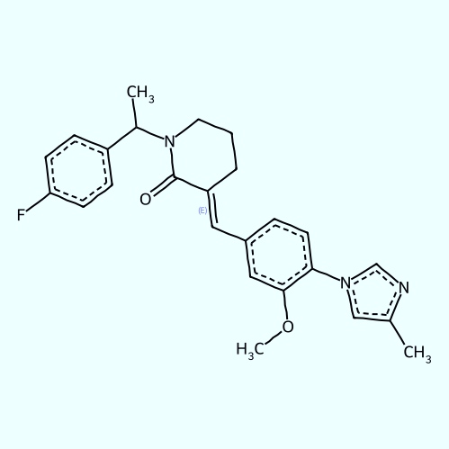 COc1cc(/C=C2\CCCN(C(C)c3ccc(F)cc3)C2=O)ccc1-n1cnc(C)c1